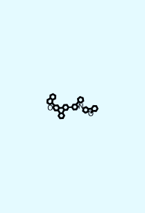 c1ccc2c(c1)ccc1oc3cc4c5ccccc5c5cc(-c6ccc7c(c6)c6ccccc6n7-c6ccc7oc8ccccc8c7c6)ccc5c4cc3c12